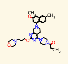 C=CC(=O)N1CCN(c2nc(OCCCN3CCOCC3)nc3c2CCN(c2cc(OC)cc4cc(C)ccc24)C3)CC1